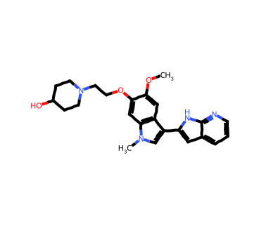 COc1cc2c(-c3cc4cccnc4[nH]3)cn(C)c2cc1OCCN1CCC(O)CC1